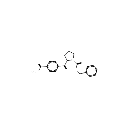 COC(=O)c1ccc(C(=O)C2CCCN2C(=O)OCc2ccccc2)cc1